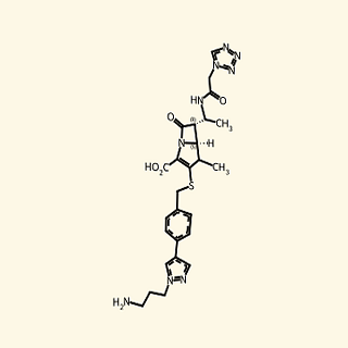 CC(NC(=O)Cn1cnnn1)[C@H]1C(=O)N2C(C(=O)O)=C(SCc3ccc(-c4cnn(CCCN)c4)cc3)C(C)[C@H]12